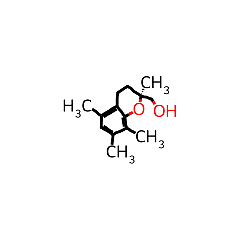 Cc1cc(C)c2c(c1C)O[C@](C)(CO)CC2